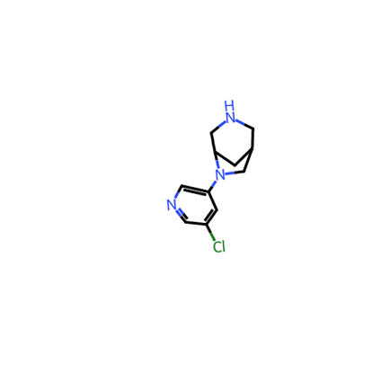 Clc1cncc(N2CC3CNCC2C3)c1